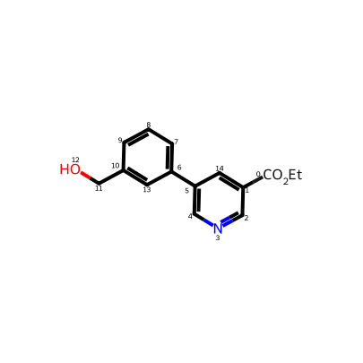 CCOC(=O)c1cncc(-c2cccc(CO)c2)c1